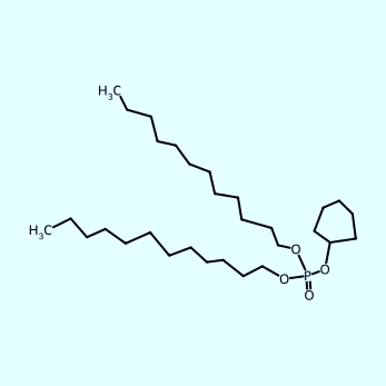 CCCCCCCCCCCCOP(=O)(OCCCCCCCCCCCC)OC1CCCCC1